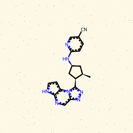 C[C@@H]1C[C@H](Nc2ccc(C#N)cn2)C[C@@H]1c1nnc2cnc3[nH]ccc3n12